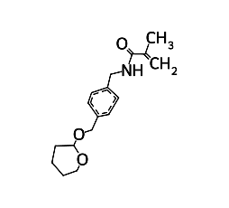 C=C(C)C(=O)NCc1ccc(COC2CCCCO2)cc1